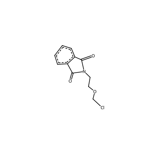 O=C1c2ccccc2C(=O)N1CCOCCl